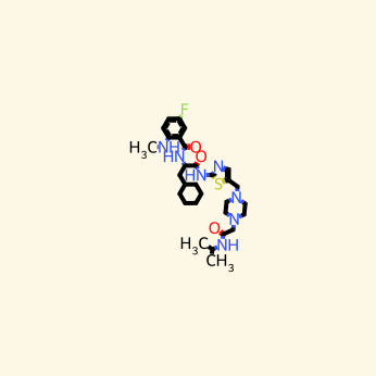 CNc1ccc(F)cc1C(=O)NC(CC1CCCCC1)C(=O)Nc1ncc(CN2CCN(CC(=O)NC(C)C)CC2)s1